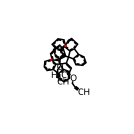 C#CCOC(=C)/C=C(\C1(c2ccccc2)c2ccccc2-c2ccccc21)C1(c2c(OCC#C)ccc3ccccc23)c2ccccc2-c2ccccc21